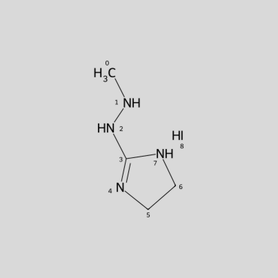 CNNC1=NCCN1.I